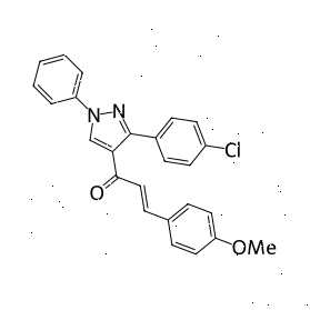 COc1ccc(C=CC(=O)c2cn(-c3ccccc3)nc2-c2ccc(Cl)cc2)cc1